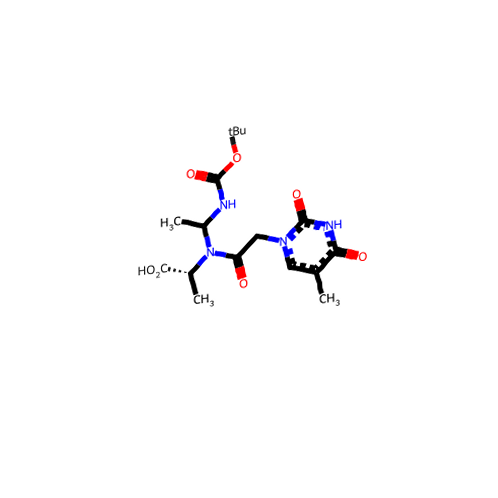 Cc1cn(CC(=O)N(C(C)NC(=O)OC(C)(C)C)[C@H](C)C(=O)O)c(=O)[nH]c1=O